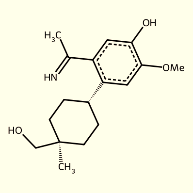 COc1cc([C@H]2CC[C@](C)(CO)CC2)c(C(C)=N)cc1O